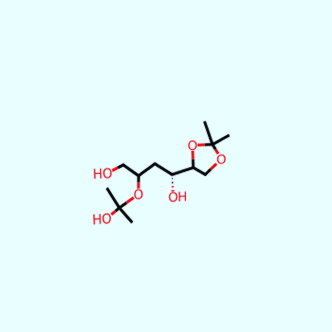 CC(C)(O)OC(CO)C[C@@H](O)C1COC(C)(C)O1